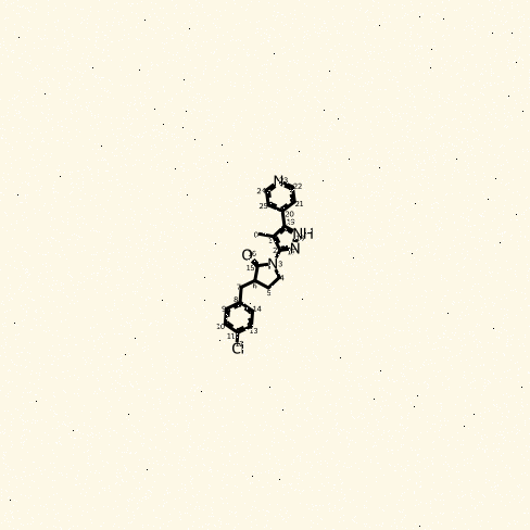 Cc1c(N2CCC(Cc3ccc(Cl)cc3)C2=O)n[nH]c1-c1ccncc1